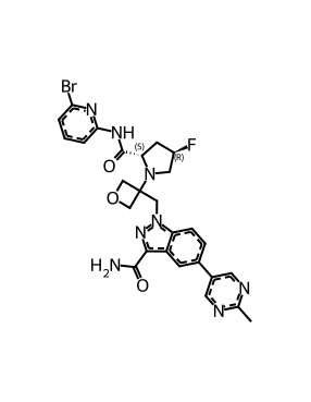 Cc1ncc(-c2ccc3c(c2)c(C(N)=O)nn3CC2(N3C[C@H](F)C[C@H]3C(=O)Nc3cccc(Br)n3)COC2)cn1